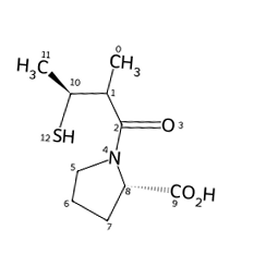 CC(C(=O)N1CCC[C@H]1C(=O)O)[C@H](C)S